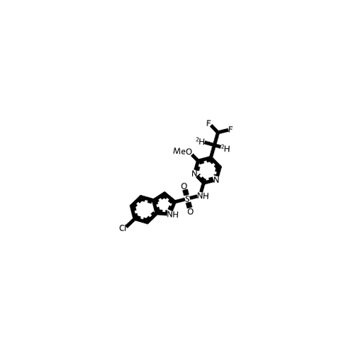 [2H]C([2H])(c1cnc(NS(=O)(=O)c2cc3ccc(Cl)cc3[nH]2)nc1OC)C(F)F